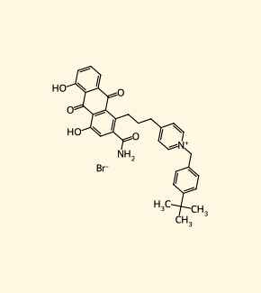 CC(C)(C)c1ccc(C[n+]2ccc(CCCc3c(C(N)=O)cc(O)c4c3C(=O)c3cccc(O)c3C4=O)cc2)cc1.[Br-]